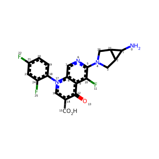 NC1C2CN(c3ncc4c(c3F)c(=O)c(C(=O)O)cn4-c3ccc(F)cc3F)CC12